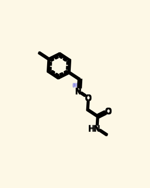 CNC(=O)CO/N=C/c1ccc(C)cc1